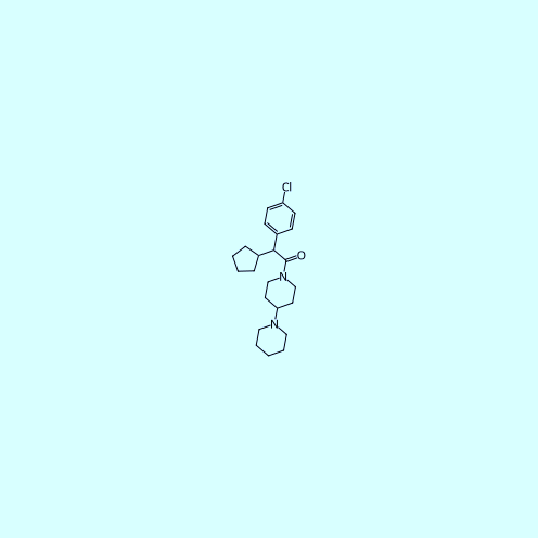 O=C(C(c1ccc(Cl)cc1)C1CCCC1)N1CCC(N2CCCCC2)CC1